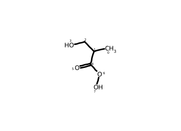 CC(CO)C(=O)OO